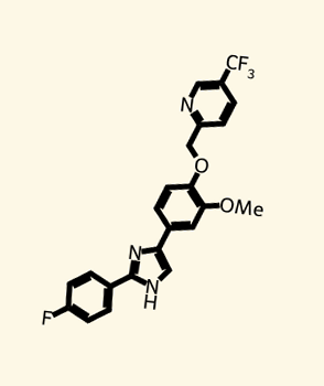 COc1cc(-c2c[nH]c(-c3ccc(F)cc3)n2)ccc1OCc1ccc(C(F)(F)F)cn1